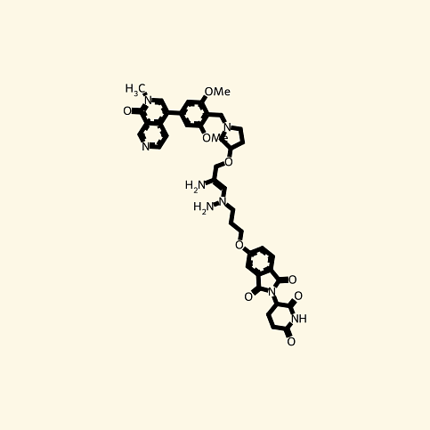 COc1cc(-c2cn(C)c(=O)c3cnccc23)cc(OC)c1CN1CCC(OC/C(N)=C/N(N)CCCOc2ccc3c(c2)C(=O)N(C2CCC(=O)NC2=O)C3=O)C1